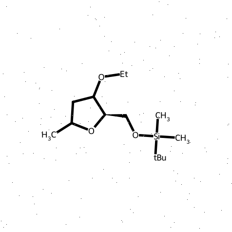 CCOC1CC(C)O[C@@H]1CO[Si](C)(C)C(C)(C)C